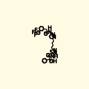 O=C(Cc1cccc(OC(F)(F)F)c1)Nc1ccc(CCCCc2nnc(NC(=O)C(O)c3ccccc3)s2)nn1